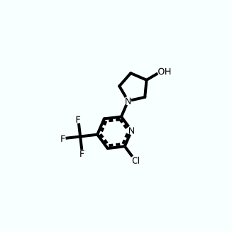 OC1CCN(c2cc(C(F)(F)F)cc(Cl)n2)C1